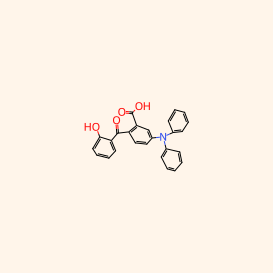 O=C(O)c1cc(N(c2ccccc2)c2ccccc2)ccc1C(=O)c1ccccc1O